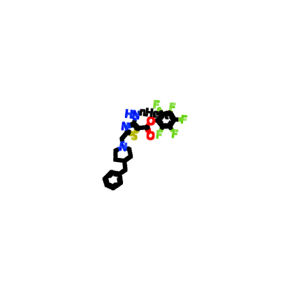 CCCCCCCNc1nc(CN2CCC(Cc3ccccc3)CC2)sc1C(=O)Oc1c(F)c(F)c(F)c(F)c1F